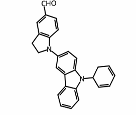 O=Cc1ccc2c(c1)CCN2c1ccc2c(c1)c1ccccc1n2C1C=CC=CC1